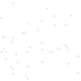 COc1cc(-n2cnc3cc(-n4cncc4C)ccc32)cc(OC)c1C(=O)NCC(F)(F)F